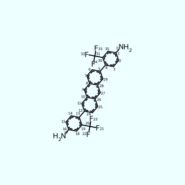 Nc1ccc(-c2ccc3cc4cc(-c5ccc(N)cc5C(F)(F)F)ccc4cc3c2)c(C(F)(F)F)c1